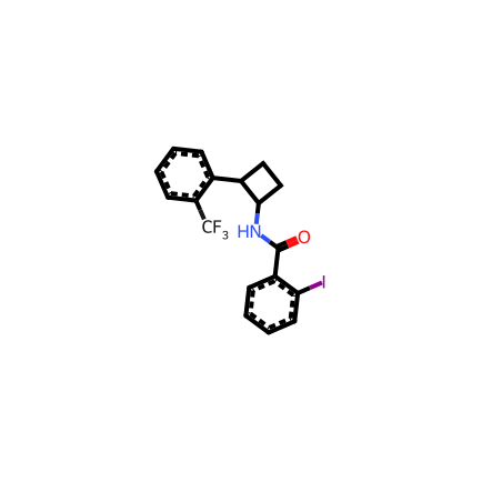 O=C(NC1CCC1c1ccccc1C(F)(F)F)c1ccccc1I